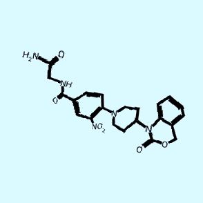 NC(=O)CNC(=O)c1ccc(N2CCC(N3C(=O)OCc4ccccc43)CC2)c([N+](=O)[O-])c1